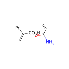 C=C(C(=O)O)C(C)C.C=CC(N)=O